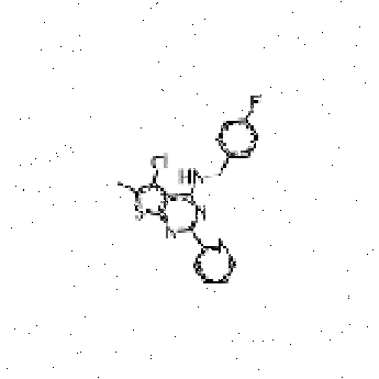 Cc1sc2nc(-c3ccccn3)nc(NCc3ccc(F)cc3)c2c1Cl